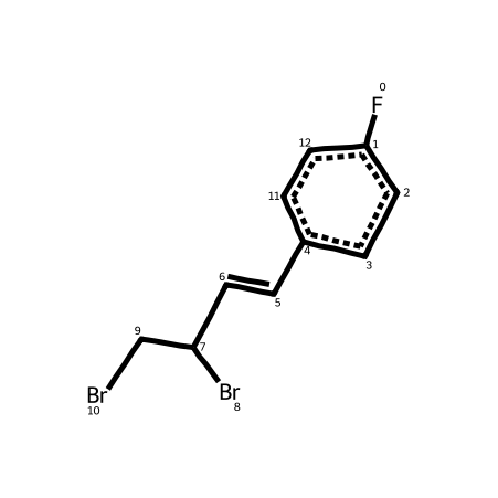 Fc1ccc(C=CC(Br)CBr)cc1